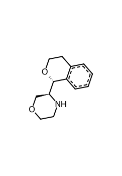 c1ccc2c(c1)CCO[C@H]2[C@@H]1COCCN1